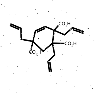 C=CCC1(C(=O)O)C=CC(CC=C)(C(=O)O)C(CC=C)(C(=O)O)C1